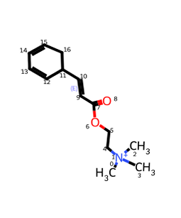 C[N+](C)(C)CCOC(=O)/C=C/C1C=CC=CC1